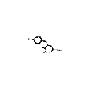 COC(=O)/C=C(/Sc1ccc(Br)cc1)C(=O)OC